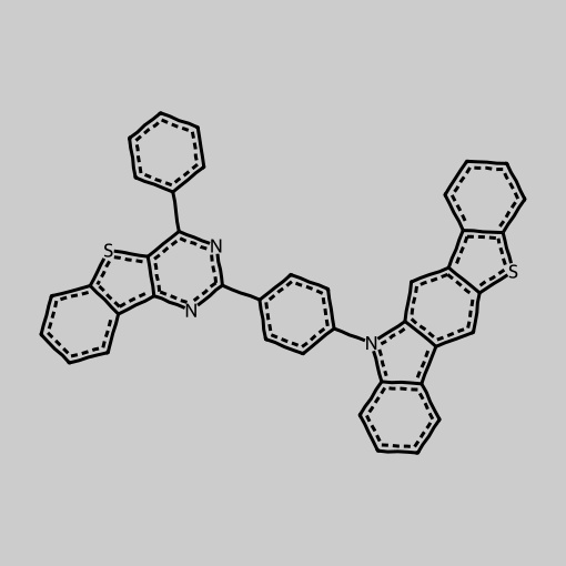 c1ccc(-c2nc(-c3ccc(-n4c5ccccc5c5cc6sc7ccccc7c6cc54)cc3)nc3c2sc2ccccc23)cc1